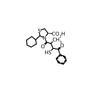 CC(C(=O)N1C(C2CCCCC2)SC[C@H]1C(=O)O)C(S)C(=O)c1ccccc1